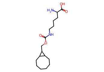 NC(CCCCNC(=O)OCC1C2CCCCCCC21)C(=O)O